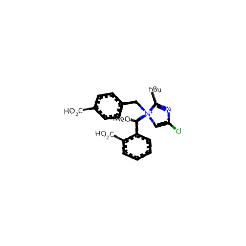 CCCCC1=NC(Cl)=C[N+]1(Cc1ccc(C(=O)O)cc1)C(OC)c1ccccc1C(=O)O